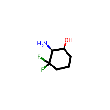 N[C@H]1[C@@H](O)CCCC1(F)F